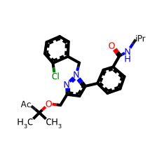 CC(=O)C(C)(C)OCc1cc(-c2cccc(C(=O)NC(C)C)c2)n(Cc2ccccc2Cl)n1